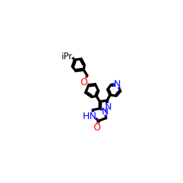 CC(C)c1ccc(COc2ccc(-c3c(-c4ccncc4)nn4c3CNC(=O)C4)cc2)cc1